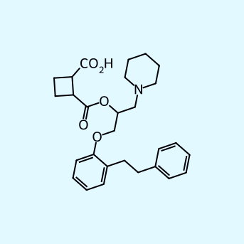 O=C(O)C1CCC1C(=O)OC(COc1ccccc1CCc1ccccc1)CN1CCCCC1